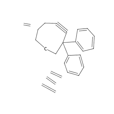 C1#CC(c2ccccc2)(c2ccccc2)CCCCC1.C=C.C=C.C=C.C=C